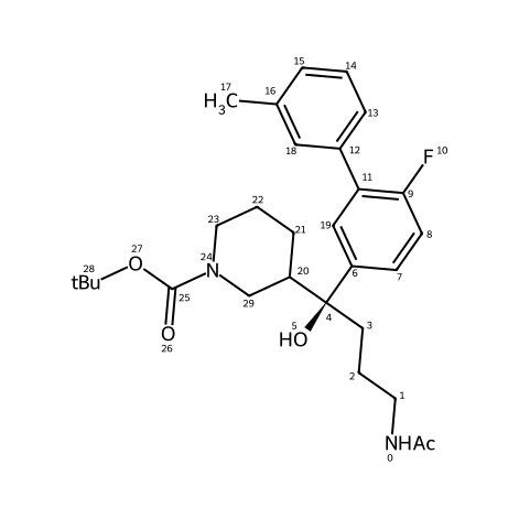 CC(=O)NCCC[C@@](O)(c1ccc(F)c(-c2cccc(C)c2)c1)C1CCCN(C(=O)OC(C)(C)C)C1